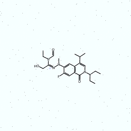 CCC(CC)n1cc(C(C)C)c2cc(N(C)/N=C(/CO)N(C=O)CC)c(F)cc2c1=O